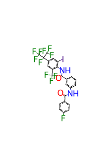 O=C(Nc1cccc(C(=O)Nc2c(I)cc(C(F)(C(F)(F)F)C(F)(F)F)cc2C(F)(F)F)c1)c1ccc(F)cc1